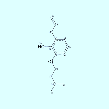 C=CCc1cccc(OCCC(C)C)c1O